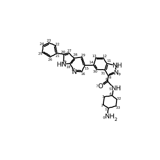 NC1CCC(NC(=O)c2n[nH]c3ccc(-c4cnc5[nH]c(-c6ccccc6)cc5c4)cc23)CC1